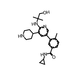 Cc1ccc(C(=O)NC2CC2)cc1-c1cnc(NC(C)(C)CO)c(C2CCNCC2)c1